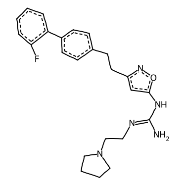 NC(=NCCN1CCCC1)Nc1cc(CCc2ccc(-c3ccccc3F)cc2)no1